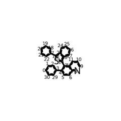 c1ccc(-c2ccc3ncccc3c2-c2sc(-c3ccccc3)c3ccccc23)cc1